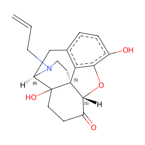 C=CCN1CC[C@]23c4c5ccc(O)c4O[C@@H]2C(=O)CCC3(O)[C@H]1C5